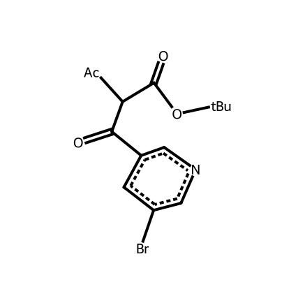 CC(=O)C(C(=O)OC(C)(C)C)C(=O)c1cncc(Br)c1